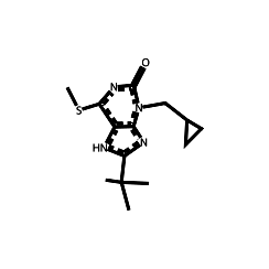 CSc1nc(=O)n(CC2CC2)c2nc(C(C)(C)C)[nH]c12